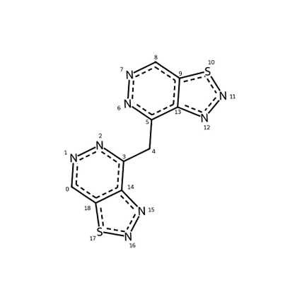 c1nnc(Cc2nncc3snnc23)c2nnsc12